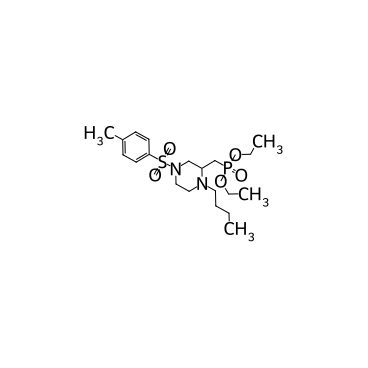 CCCCN1CCN(S(=O)(=O)c2ccc(C)cc2)CC1CP(=O)(OCC)OCC